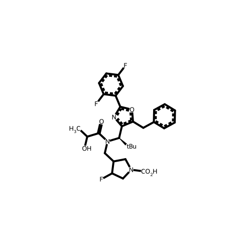 CC(O)C(=O)N(CC1CN(C(=O)O)CC1F)[C@@H](c1nc(-c2cc(F)ccc2F)oc1Cc1ccccc1)C(C)(C)C